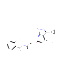 Cc1ccccc1C(C)NC(=O)COc1cc(C(F)(F)F)c2c(C3CC3)nn(C)c2n1